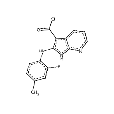 Cc1ccc(Nc2[nH]c3ncccc3c2C(=O)Cl)c(F)c1